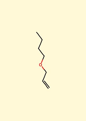 C=CCOCCCC